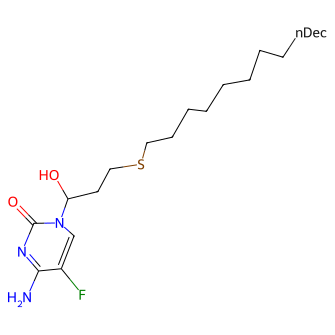 CCCCCCCCCCCCCCCCCCSCCC(O)n1cc(F)c(N)nc1=O